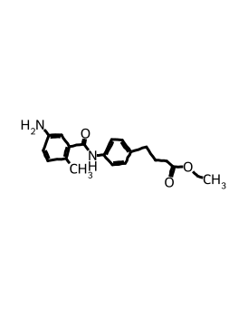 CCOC(=O)CCCc1ccc(NC(=O)c2cc(N)ccc2C)cc1